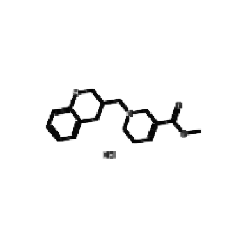 COC(=O)C1=CCCN(CC2COc3ccccc3C2)C1.Cl